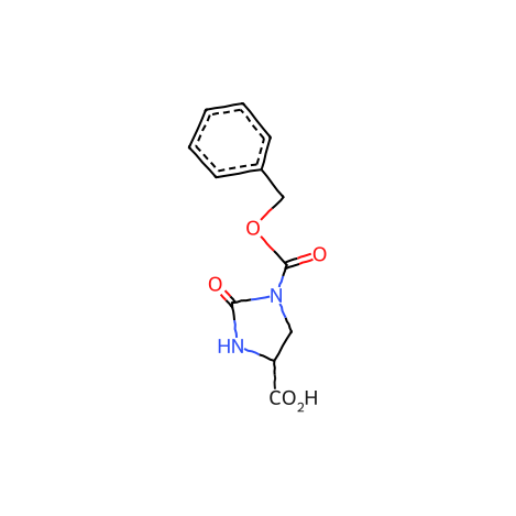 O=C(O)C1CN(C(=O)OCc2ccccc2)C(=O)N1